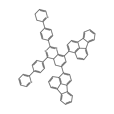 C1=CN=C(c2ccc(C3=NC4=C(c5ccc6c7c(cccc57)-c5ccccc5-6)C=C(c5ccc6c7c(cccc57)-c5ccccc5-6)CC4C(c4ccc(-c5ccccn5)cc4)=N3)cc2)CC1